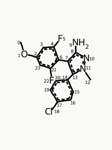 COc1cc(F)c(-c2c(N)nn(C)c2-c2ccc(Cl)cc2)c(F)c1